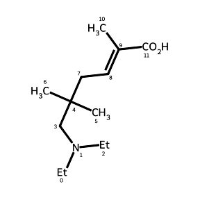 CCN(CC)CC(C)(C)CC=C(C)C(=O)O